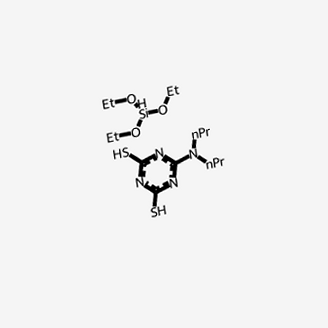 CCCN(CCC)c1nc(S)nc(S)n1.CCO[SiH](OCC)OCC